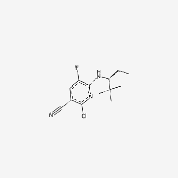 CC[C@H](Nc1nc(Cl)c(C#N)cc1F)C(C)(C)C